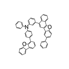 c1ccc(-c2ccc3oc4c5ccccc5c(-c5cccc(N(c6ccccc6)c6ccc(-c7cccc8c7oc7ccccc78)cc6)c5)cc4c3c2)cc1